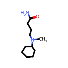 CN(CCCC(N)=O)C1CCCCC1